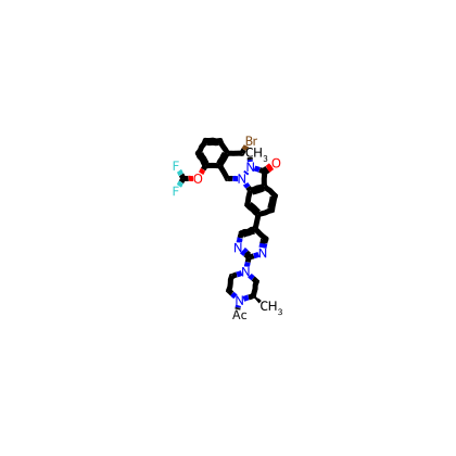 CC(=O)N1CCN(c2ncc(-c3ccc4c(=O)n(C)n(Cc5c(CBr)cccc5OC(F)F)c4c3)cn2)C[C@H]1C